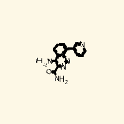 NC(=O)c1nnc2c(-c3cccnc3)cccc2c1N